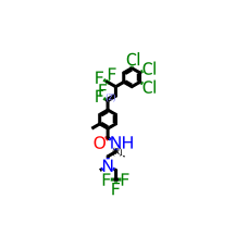 Cc1cc(/C(F)=C/C(c2cc(Cl)c(Cl)c(Cl)c2)C(F)(F)F)ccc1C(=O)N[C@H](C)CN(C)CC(F)(F)F